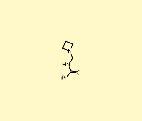 CC(C)C(=O)NCN1CCC1